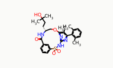 Cc1cccc(C)c1-c1nc2nc(c1C)OC[C@@H](CCC(C)(C)O)NC(=O)c1cccc(c1)S(=O)(=O)N2